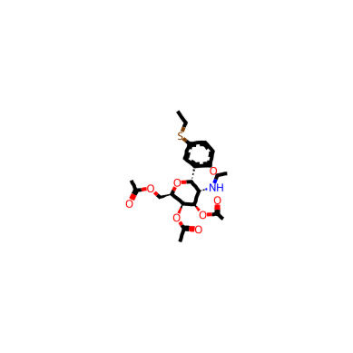 CCSc1cccc([C@H]2O[C@H](COC(C)=O)[C@H](OC(C)=O)[C@H](OC(C)=O)[C@H]2NC(C)=O)c1